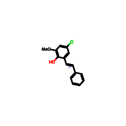 COc1cc(Cl)cc(/C=C/c2ccccc2)c1O